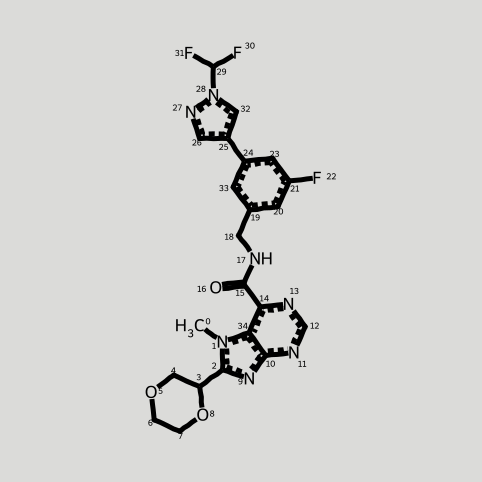 Cn1c(C2COCCO2)nc2ncnc(C(=O)NCc3cc(F)cc(-c4cnn(C(F)F)c4)c3)c21